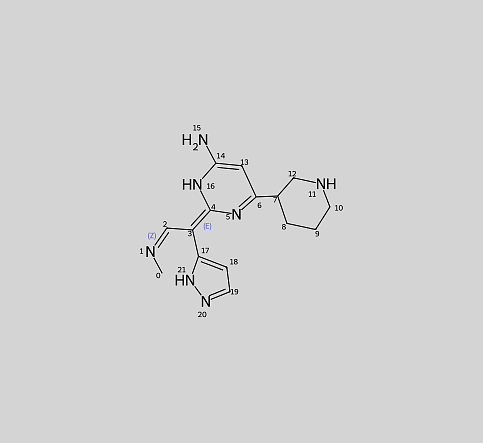 C/N=C\C(=C1\N=C(C2CCCNC2)C=C(N)N1)c1ccn[nH]1